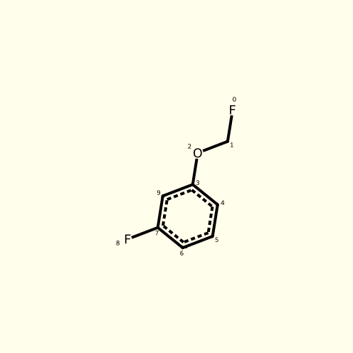 FCOc1cc[c]c(F)c1